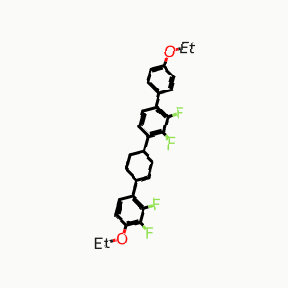 CCOc1ccc(-c2ccc(C3CCC(c4ccc(OCC)c(F)c4F)CC3)c(F)c2F)cc1